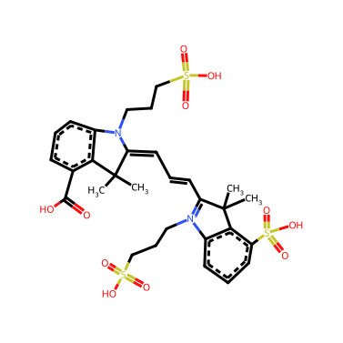 CC1(C)C(/C=C/C=C2/N(CCCS(=O)(=O)O)c3cccc(C(=O)O)c3C2(C)C)=[N+](CCCS(=O)(=O)O)c2cccc(S(=O)(=O)O)c21